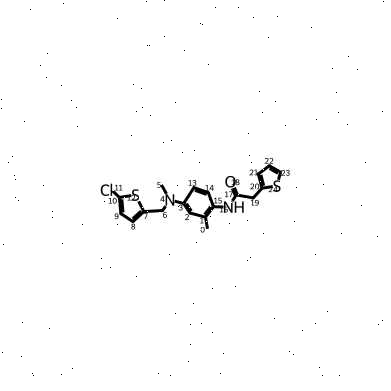 Cc1cc(N(C)Cc2ccc(Cl)s2)ccc1NC(=O)Cc1cccs1